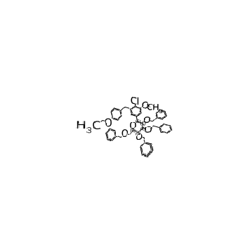 CCOc1ccc(Cc2cc([C@@H]3O[C@H](COCc4ccccc4)[C@@H](OCc4ccccc4)[C@H](OCc4ccccc4)[C@H]3OCc3ccccc3)cc(OC)c2Cl)cc1